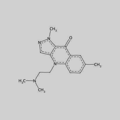 Cc1ccc2c(c1)c(=O)c1c(cnn1C)n2CCN(C)C